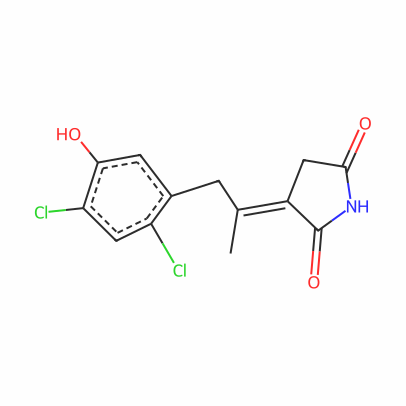 CC(Cc1cc(O)c(Cl)cc1Cl)=C1CC(=O)NC1=O